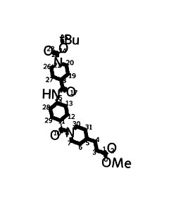 COC(=O)CCC1CCN(C(=O)[C@H]2CC[C@H](NC(=O)C3CCN(C(=O)OC(C)(C)C)CC3)CC2)CC1